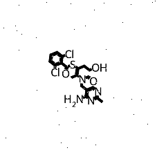 CC(=C(CCO)SC(=O)c1c(Cl)cccc1Cl)N(C=O)Cc1cnc(C)nc1N